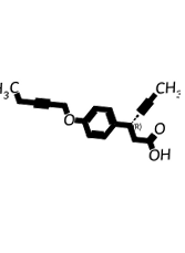 CC#C[C@H](CC(=O)O)c1ccc(OCC#CCC)cc1